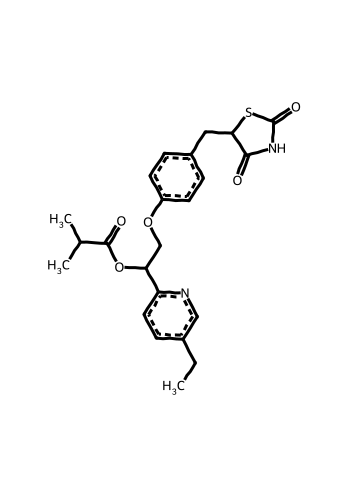 CCc1ccc(C(COc2ccc(CC3SC(=O)NC3=O)cc2)OC(=O)C(C)C)nc1